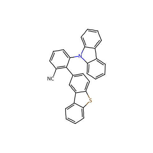 N#Cc1cccc(-n2c3ccccc3c3ccccc32)c1-c1ccc2sc3ccccc3c2c1